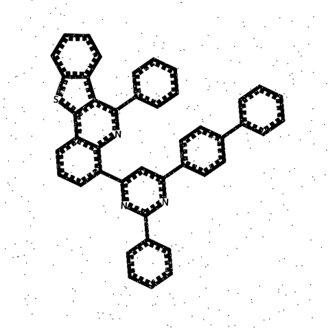 c1ccc(-c2ccc(-c3cc(-c4cccc5c4nc(-c4ccccc4)c4c6ccccc6sc54)nc(-c4ccccc4)n3)cc2)cc1